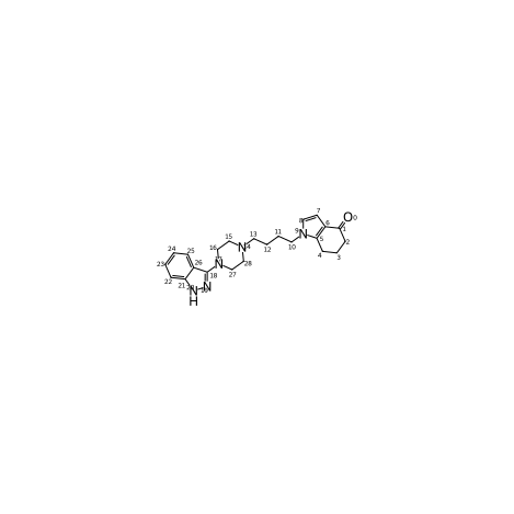 O=C1CCCc2c1ccn2CCCCN1CCN(c2n[nH]c3ccccc23)CC1